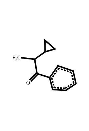 O=C(c1ccccc1)C([C]1CC1)C(F)(F)F